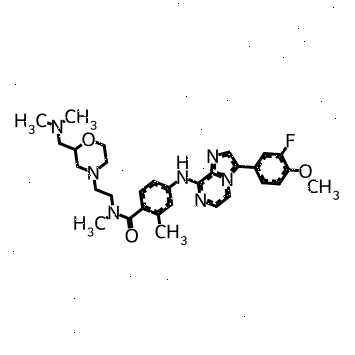 COc1ccc(-c2cnc3c(Nc4ccc(C(=O)N(C)CCN5CCOC(CN(C)C)C5)c(C)c4)nccn23)cc1F